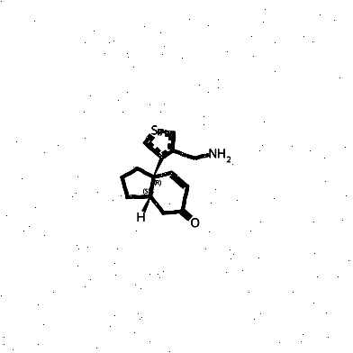 NCc1cscc1[C@@]12C=CC(=O)C[C@@H]1CCC2